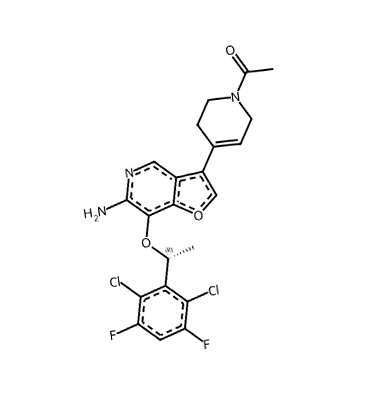 CC(=O)N1CC=C(c2coc3c(O[C@H](C)c4c(Cl)c(F)cc(F)c4Cl)c(N)ncc23)CC1